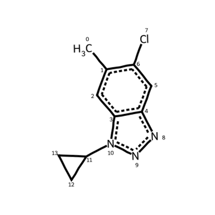 Cc1cc2c(cc1Cl)nnn2C1CC1